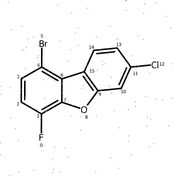 Fc1ccc(Br)c2c1oc1cc(Cl)ccc12